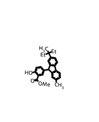 CCC(C)(CC)c1ccc2c(c1)C(c1ccc(O)c(C(=O)OC)c1)c1cc(C)ccc1-2